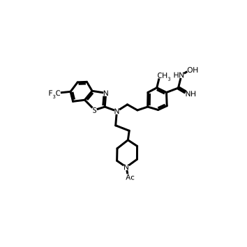 CC(=O)N1CCC(CCN(CCc2ccc(C(=N)NO)c(C)c2)c2nc3ccc(C(F)(F)F)cc3s2)CC1